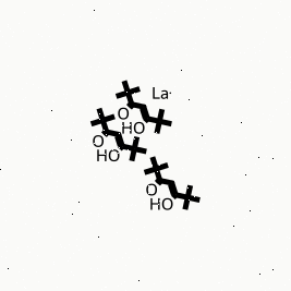 CC(C)(C)C(=O)/C=C(\O)C(C)(C)C.CC(C)(C)C(=O)/C=C(\O)C(C)(C)C.CC(C)(C)C(=O)/C=C(\O)C(C)(C)C.[La]